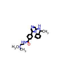 CC(Nc1cncc(-c2ccc(C(=O)NCCN(C)C)cc2)n1)c1ccccc1